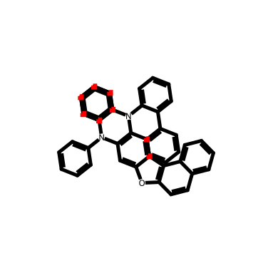 c1ccc(-c2ccccc2N(c2ccccc2)c2cc3c(cc2N(c2ccccc2)c2ccccc2)oc2ccc4ccccc4c23)cc1